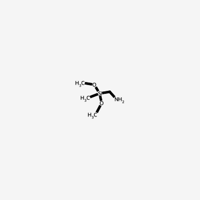 CO[Si](C)(CN)OC